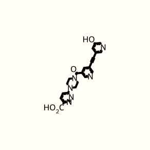 O=C(O)c1ccc(N2CCN(C(=O)c3cncc(C#Cc4cncc(O)c4)c3)CC2)nn1